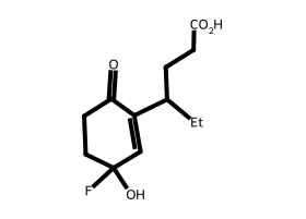 CCC(CCC(=O)O)C1=CC(O)(F)CCC1=O